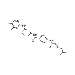 Cc1cnc(NC2CCCC(NC(=O)c3ccc(NC(=O)/C=C/CN(C)C)cc3)C2)nc1C